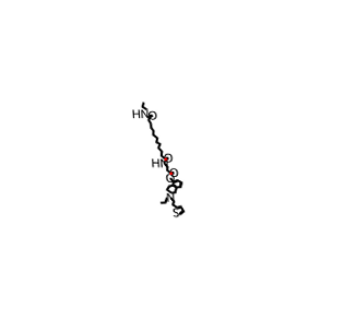 CCCNC(=O)CCCCCCCCCCCC(=O)NCCC(=O)Oc1cccc2c1CCC(N(CCC)CCc1cccs1)C2